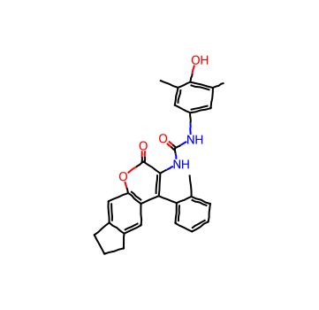 Cc1ccccc1-c1c(NC(=O)Nc2cc(C)c(O)c(C)c2)c(=O)oc2cc3c(cc12)CCC3